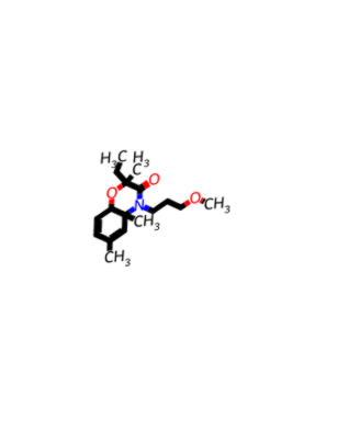 CCC1(C)OC2C=CC(C)=CC2(C)N(CCCOC)C1=O